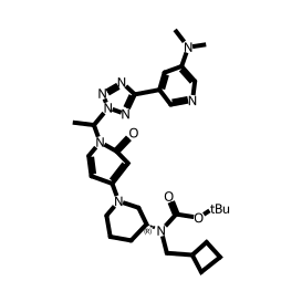 CC(n1nnc(-c2cncc(N(C)C)c2)n1)n1ccc(N2CCC[C@@H](N(CC3CCC3)C(=O)OC(C)(C)C)C2)cc1=O